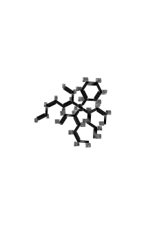 C=C/C=C\C=C(/C=C)S(/C(C=C)=C/C=C\C)(C(/C=C\C)=C/C=C)c1ccccc1